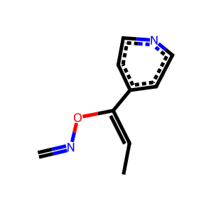 C=NO/C(=C\C)c1ccncc1